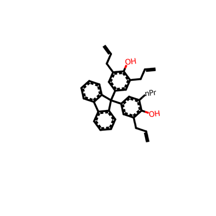 C=CCc1cc(C2(c3cc(CC=C)c(O)c(CCC)c3)c3ccccc3-c3ccccc32)cc(CC=C)c1O